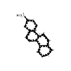 O=S(=O)(O)c1ccc2c(ccc3c4ccccc4ccc23)c1